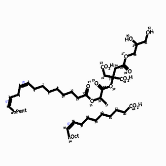 CCCCC/C=C\C/C=C\CCCCCCCC(=O)OC(C)C(=O)OC(CC(=O)O)(CC(=O)OCC(O)CO)C(=O)O.CCCCCCCC/C=C\CCCCCCCC(=O)O